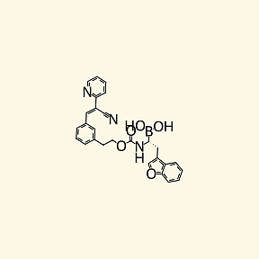 N#CC(=Cc1cccc(CCOC(=O)N[C@@H](Cc2coc3ccccc23)B(O)O)c1)c1ccccn1